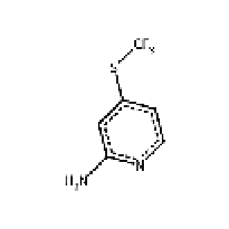 Nc1cc(SC(F)(F)F)ccn1